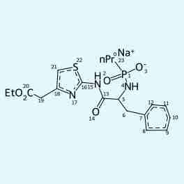 CCCP(=O)([O-])NC(Cc1ccccc1)C(=O)Nc1nc(CC(=O)OCC)cs1.[Na+]